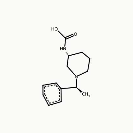 C[C@@H](c1ccccc1)N1CCC[C@@H](NC(=O)O)C1